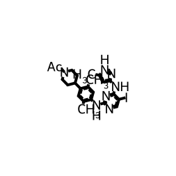 CC(=O)N1CCC(c2cc(C)c(Nc3ncc(I)c(Nc4cc(C)[nH]n4)n3)cc2C)CC1